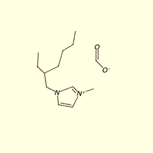 CCCCC(CC)Cn1cc[n+](C)c1.O=C[O-]